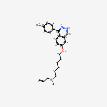 C=CCN(C)CCCCCCOc1ccc2c(-c3ccc(Br)cc3)nncc2c1